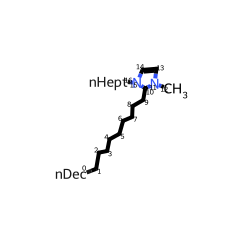 CCCCCCCCCCCCCCCCCCCC1N(C)C=CN1CCCCCCC